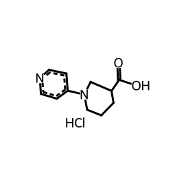 Cl.O=C(O)C1CCCN(c2ccncc2)C1